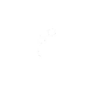 Cc1cc(CF)cc(-c2cccc(CNC(=O)C3CCCO3)c2)c1